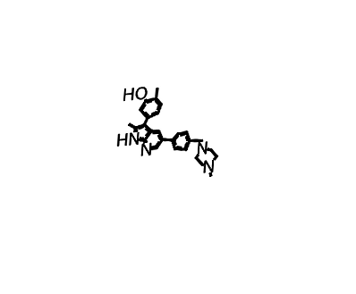 Cc1ccc(-c2c(C)[nH]c3ncc(-c4ccc(CN5CCN(C)CC5)cc4)cc23)cc1O